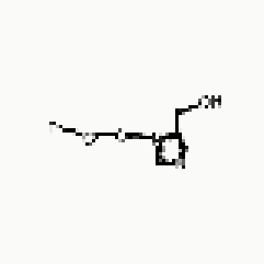 CC(C)OCCCn1cncc1CO